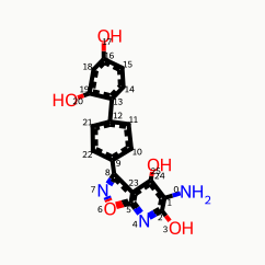 Nc1c(O)nc2onc(-c3ccc(-c4ccc(O)cc4O)cc3)c2c1O